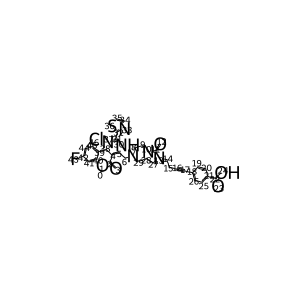 COC(=O)C1=C(CN2CCN3C(=O)N(CCC#Cc4ccc(C(=O)O)cc4)CC3C2)NC(c2nccs2)=NC1c1ccc(F)cc1Cl